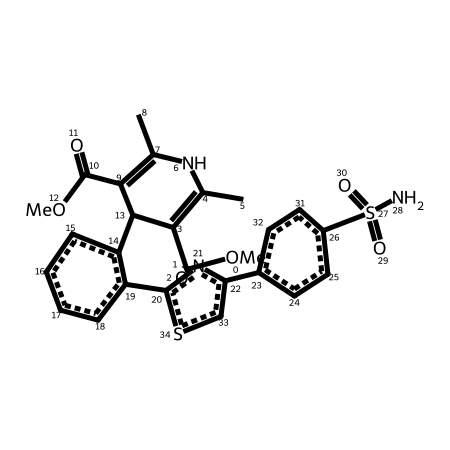 COC(=O)C1=C(C)NC(C)=C(C(=O)OC)C1c1ccccc1-c1nc(-c2ccc(S(N)(=O)=O)cc2)cs1